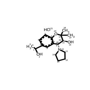 CC(O)c1ccc2c(c1)[C@@H](N1CCCC1)[C@H](O)C(C)(C)O2.Cl